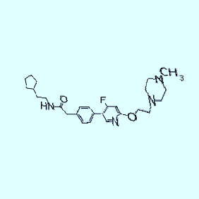 CN1CCN(CCOc2cc(F)c(-c3ccc(CC(=O)NCCC4CCCC4)cc3)cn2)CC1